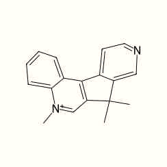 C[n+]1cc2c(c3ccccc31)-c1ccncc1C2(C)C